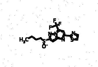 CCCC[S+]([O-])c1cc2nc(-c3nccs3)cc(C(F)(F)F)n2n1